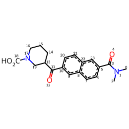 CN(C)C(=O)c1ccc2cc(C(=O)C3CCCN(C(=O)O)C3)ccc2c1